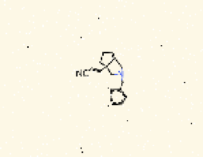 N#CC=CC12CCC=C1CN(Cc1ccccc1)C2